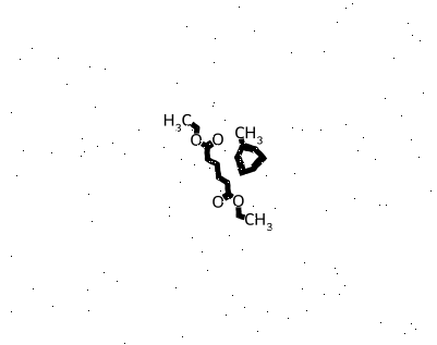 CCOC(=O)CCCCC(=O)OCC.Cc1ccccc1